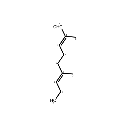 C/C(C=O)=C\CC/C(C)=C/CO